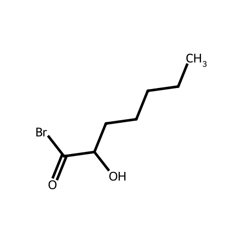 CCCCCC(O)C(=O)Br